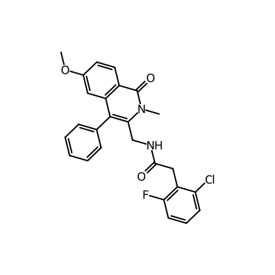 COc1ccc2c(=O)n(C)c(CNC(=O)Cc3c(F)cccc3Cl)c(-c3ccccc3)c2c1